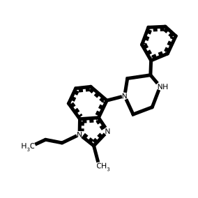 CCCn1c(C)nc2c(N3CCNC(c4ccccc4)C3)cccc21